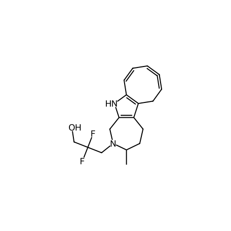 CC1CCc2c([nH]c3c2CC=C=C/C=C\3)CN1CC(F)(F)CO